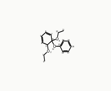 CCOC1C=CC=CC1(OCC)Oc1ccccc1